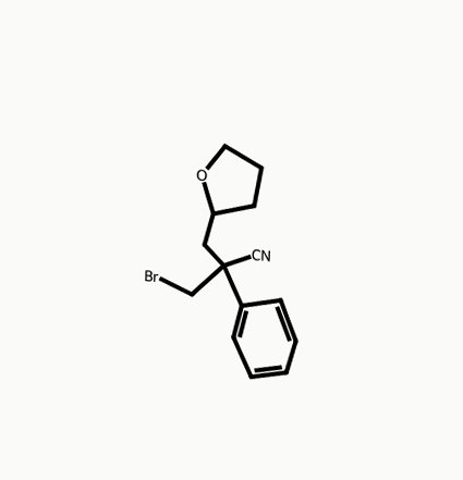 N#CC(CBr)(CC1CCCO1)c1ccccc1